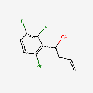 C=CCC(O)c1c(Br)ccc(F)c1F